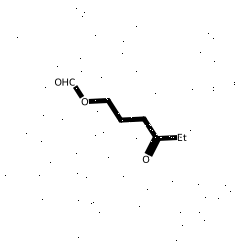 [CH2-][CH+]C(=O)CCCOC=O